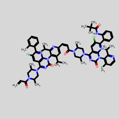 C=CC(=O)N1CC(C)N(c2nc(=O)n(-c3c(C(C)C)cc(/C=C\C(=O)N4CC(C)N(c5nc(=O)n(-c6c(C)ccnc6C(C)C)c6nc(-c7ccccc7NC(=O)C(C)(C)C)c(Cl)cc56)CC4C)nc3C(C)C)c3nc(-c4ccccc4C)c(F)cc23)CC1C